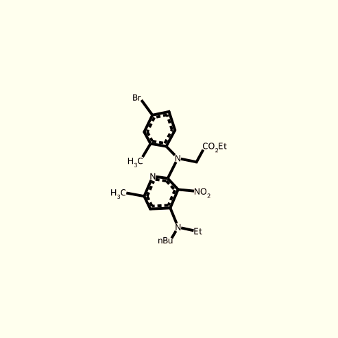 CCCCN(CC)c1cc(C)nc(N(CC(=O)OCC)c2ccc(Br)cc2C)c1[N+](=O)[O-]